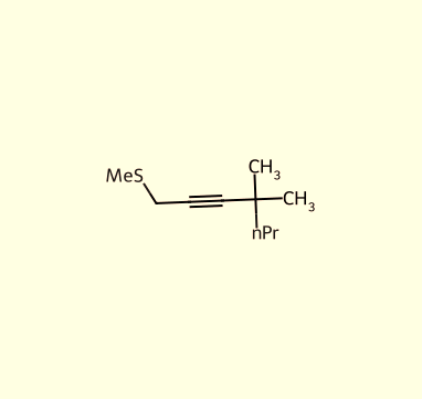 CCCC(C)(C)C#CCSC